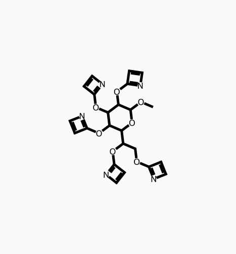 COC1OC(C(COC2=NC=C2)OC2=NC=C2)C(OC2=NC=C2)C(OC2=NC=C2)C1OC1=NC=C1